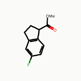 COC(=O)C1CCc2cc(F)ccc21